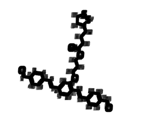 O=Cc1ccc(/C=C/c2ccc(/C=C/c3ccc(C=O)cc3)c(OCCCOC(=O)CCCC3CCSS3)c2)cc1